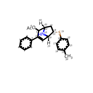 CC(=O)OC1C(c2ccccc2)=C[C@@H]2N[C@H]1C[C@@H]2Sc1ccc(C)cc1